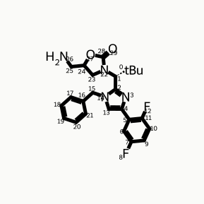 CC(C)(C)[C@H](c1nc(-c2cc(F)ccc2F)cn1Cc1ccccc1)N1CC(CN)OC1=O